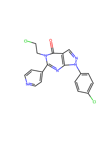 O=c1c2cnn(-c3ccc(Cl)cc3)c2nc(-c2ccncc2)n1CCCl